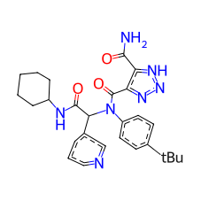 CC(C)(C)c1ccc(N(C(=O)c2nn[nH]c2C(N)=O)C(C(=O)NC2CCCCC2)c2cccnc2)cc1